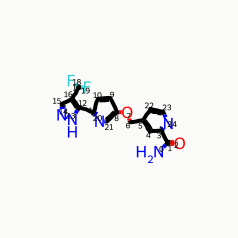 NC(=O)c1cc(COc2ccc(-c3[nH]ncc3C(F)F)nc2)ccn1